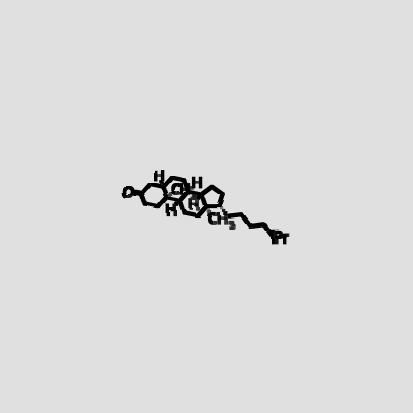 CC(C)CCCC[C@H]1CC[C@H]2[C@@H]3CC[C@H]4CC(=O)CC[C@]4(C)[C@H]3CC[C@]12C